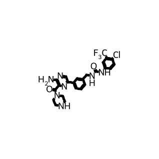 Nc1ncc(-c2cccc(CNC(=O)Nc3ccc(Cl)c(C(F)(F)F)c3)c2)nc1C(=O)N1CCNCC1